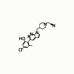 Cc1cc(Cl)cc(O)c1-c1cc2ccn(CC3CCN(CC#N)CC3)c2nn1